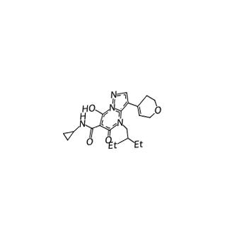 CCC(CC)Cn1c(=O)c(C(=O)NC2CC2)c(O)n2ncc(C3=CCOCC3)c12